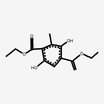 C=C(OCC)c1cc(O)c(C(=O)OCC)c(C)c1O